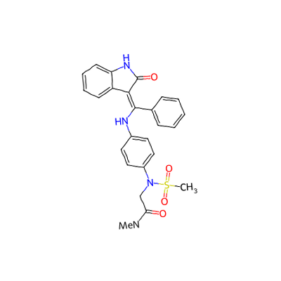 CNC(=O)CN(c1ccc(NC(=C2C(=O)Nc3ccccc32)c2ccccc2)cc1)S(C)(=O)=O